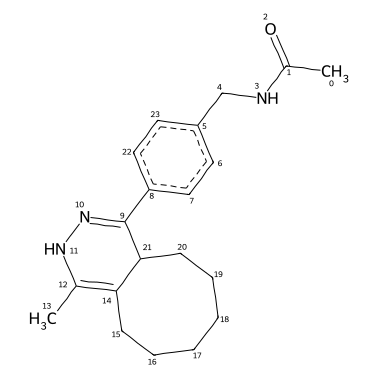 CC(=O)NCc1ccc(C2=NNC(C)=C3CCCCCCC23)cc1